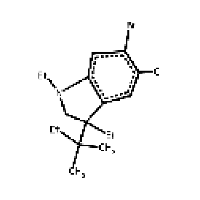 CCN1CC(CC)(C(C)(C)CC)c2cc(Cl)c(Br)cc21